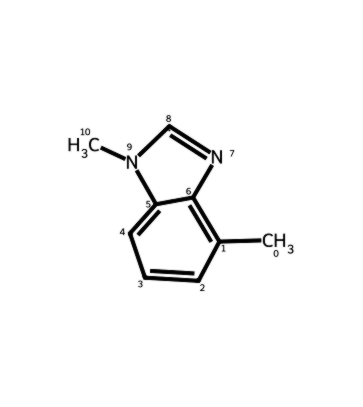 Cc1cccc2c1n[c]n2C